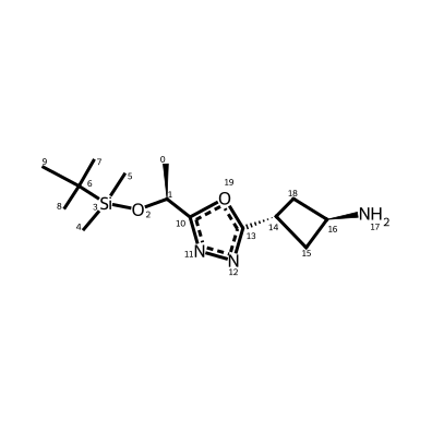 C[C@H](O[Si](C)(C)C(C)(C)C)c1nnc([C@H]2C[C@H](N)C2)o1